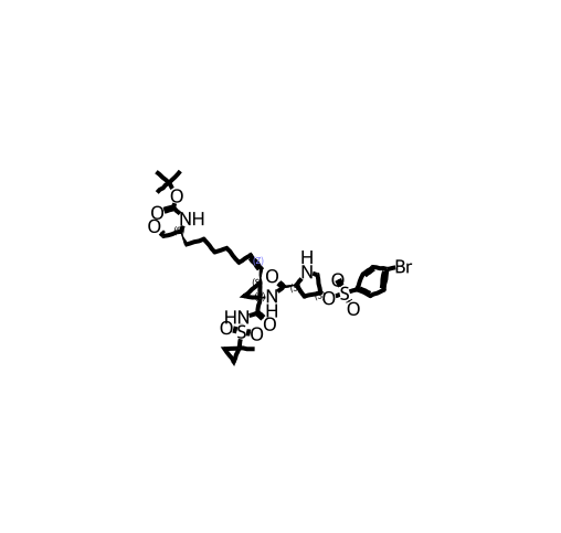 CC(C)(C)OC(=O)N[C@H](C=O)CCCCC/C=C\[C@@H]1C[C@]1(NC(=O)[C@@H]1C[C@H](OS(=O)(=O)c2ccc(Br)cc2)CN1)C(=O)NS(=O)(=O)C1(C)CC1